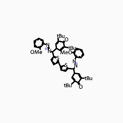 COc1ccccc1/N=N/C(c1ccc(-c2ccc(C(/N=N/c3ccccc3OC)C3C=C(C(C)(C)C)C(=O)C(C(C)(C)C)=C3)s2)s1)C1C=C(C(C)(C)C)C(=O)C(C(C)(C)C)=C1